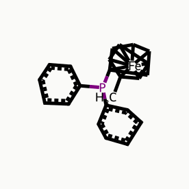 C[C]12[CH]3[CH]4[CH]5[CH]1[Fe]45321678[CH]2[CH]1[CH]6[C]7(P(c1ccccc1)c1ccccc1)[CH]28